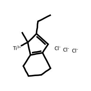 CCC1=CC2=C(CCCC2)[C]1(C)[Ti+3].[Cl-].[Cl-].[Cl-]